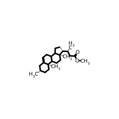 COC(=O)C[C@@H](C)[C@H]1CCC2C3CC=C4C[C@@H](C)CC[C@]4(C)C3CC[C@@]21C